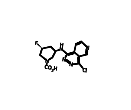 O=C(O)N1C[C@H](F)C[C@@H](Nc2nnc(Cl)c3cnccc23)C1